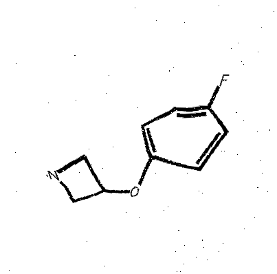 Fc1ccc(OC2C[N]C2)cc1